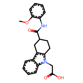 COc1ccccc1NC(=O)C1CCc2c(c3ccccc3n2CC(=O)O)C1